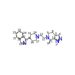 C=C1c2c(cnn2C)CCN1CCN1CCC(C2=NCc3ccccc32)CC1